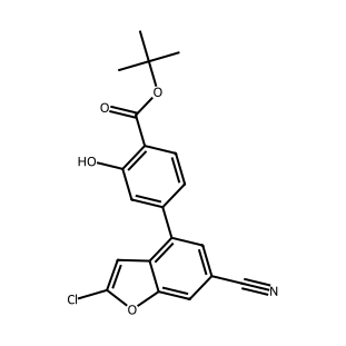 CC(C)(C)OC(=O)c1ccc(-c2cc(C#N)cc3oc(Cl)cc23)cc1O